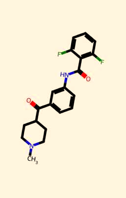 CN1CCC(C(=O)c2cccc(NC(=O)c3c(F)cccc3F)c2)CC1